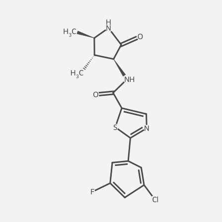 C[C@H]1[C@H](NC(=O)c2cnc(-c3cc(F)cc(Cl)c3)s2)C(=O)N[C@@H]1C